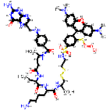 CCN(CC)c1ccc2c(-c3ccc(S(=O)(=O)NCCSSCC(NC(=O)C(CCCCN)NC(=O)C(CC(=O)O)NC(=O)CCC(NC(=O)c4ccc(NCc5cnc6[nH]c(N)nc(=O)c6n5)cc4)C(=O)O)C(=O)O)cc3SOOO)c3ccc(N(CC)CC)cc3[o+]c2c1